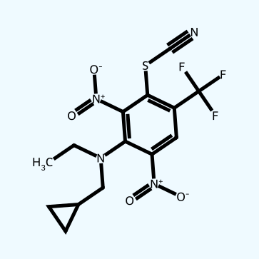 CCN(CC1CC1)c1c([N+](=O)[O-])cc(C(F)(F)F)c(SC#N)c1[N+](=O)[O-]